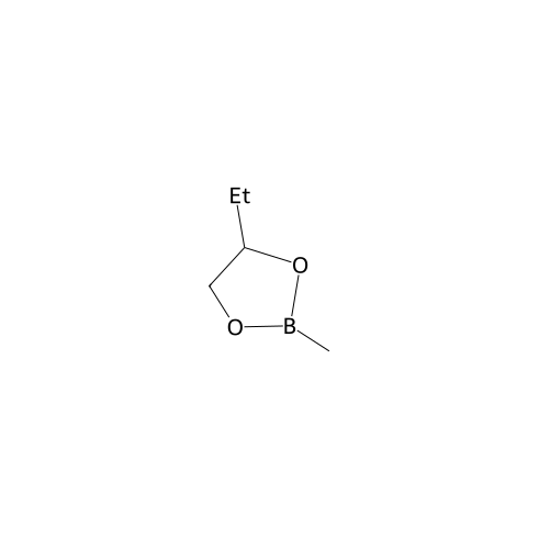 CCC1COB(C)O1